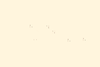 CCCn1c(=O)n(N2CCN(c3ccccn3)CC2)c2ccccc21